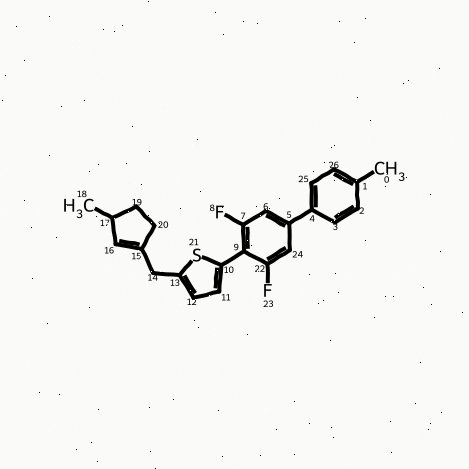 Cc1ccc(-c2cc(F)c(-c3ccc(CC4=CC(C)CC4)s3)c(F)c2)cc1